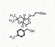 CCCCCCCCCCCCO[C@H]1O[C@H](C(O)c2ccc(C)cc2)[C@@H]2OC(C)(C)O[C@H]12